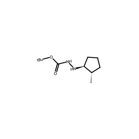 C[C@H]1CCC[C@@H]1NNC(=O)OC(C)(C)C